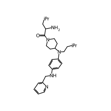 CC(C)CCN(c1ccc(NCc2ccccn2)cc1)C1CCN(C(=O)C(N)CC(C)C)CC1